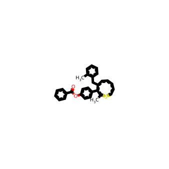 Cc1ccccc1Cc1cccccsc(C)c1-c1ccc(OC(=O)c2ccccc2)cc1